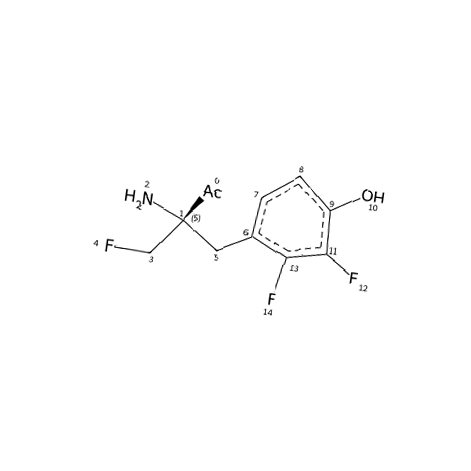 CC(=O)[C@](N)(CF)Cc1ccc(O)c(F)c1F